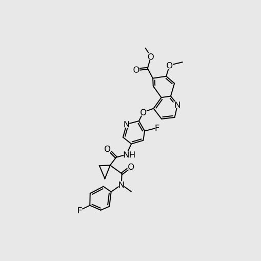 COC(=O)c1cc2c(Oc3ncc(NC(=O)C4(C(=O)N(C)c5ccc(F)cc5)CC4)cc3F)ccnc2cc1OC